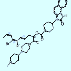 C\C=C/C(Br)=C(Br)\C=C\C[C@@H](OC(=O)N1CCC(n2c(=O)[nH]c3c4ccccc4ccc32)CC1)C(=O)N1CCN(C2CCN(C)CC2)CC1